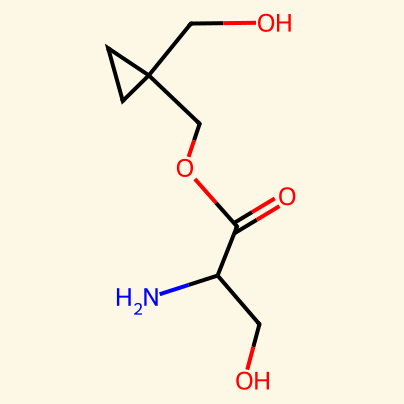 NC(CO)C(=O)OCC1(CO)CC1